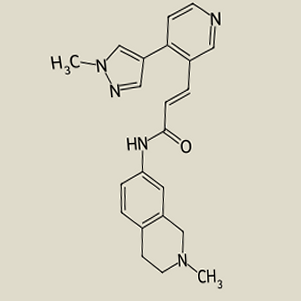 CN1CCc2ccc(NC(=O)/C=C/c3cnccc3-c3cnn(C)c3)cc2C1